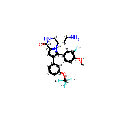 COc1ccc(-c2c(-c3cccc(OC(F)(F)F)c3)cc3n2[C@@H](CCN)CNC3=O)cc1F